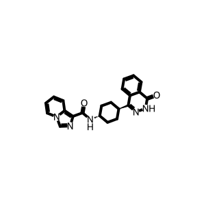 O=C(N[C@H]1CC[C@H](c2n[nH]c(=O)c3ccccc32)CC1)c1ncn2ccccc12